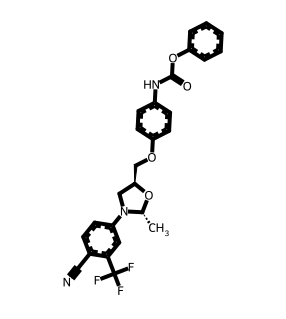 C[C@H]1O[C@H](COc2ccc(NC(=O)Oc3ccccc3)cc2)CN1c1ccc(C#N)c(C(F)(F)F)c1